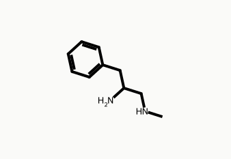 CNCC(N)Cc1ccccc1